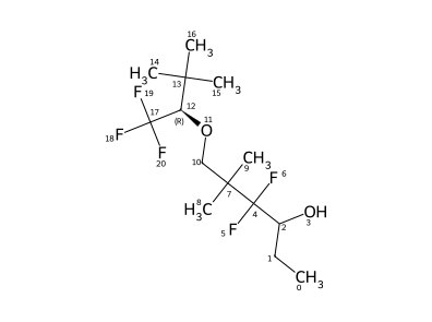 CCC(O)C(F)(F)C(C)(C)CO[C@H](C(C)(C)C)C(F)(F)F